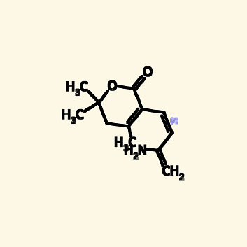 C=C(N)/C=C\C1=C(C)CC(C)(C)OC1=O